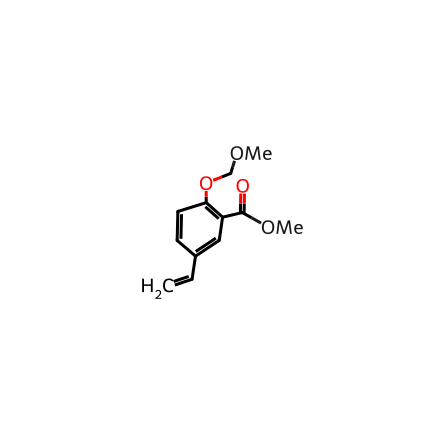 C=Cc1ccc(OCOC)c(C(=O)OC)c1